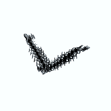 O.O.O.O.O.O=P(O)(O)O.O=P(O)(O)O.O=P(O)(O)O.O=P(O)(O)O.O=P(O)(O)O.O=P(O)(O)O.O=P(O)(O)O.O=P(O)(O)O.O=P(O)(O)O.O=P(O)(O)O.O=P([O-])(O)O.O=P([O-])([O-])[O-].O=P([O-])([O-])[O-].O=P([O-])([O-])[O-].O=P([O-])([O-])[O-].O=P([O-])([O-])[O-].[Ca+2].[Ca+2].[Ca+2].[Ca+2].[Ca+2].[Ca+2].[Ca+2].[Ca+2]